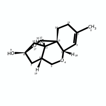 CC1=C[C@@H]2OC[C@@H]3C[C@@]4(O)C[C@]3(C)[C@]2(CC1)CO4